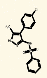 O=S(=O)(Nc1n[nH]c(C(F)(F)F)c1-c1ccc(Cl)cc1)c1ccccc1